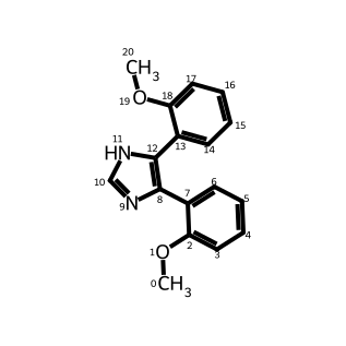 COc1ccccc1-c1nc[nH]c1-c1ccccc1OC